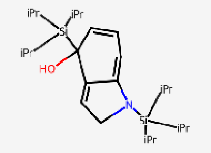 CC(C)[Si](C(C)C)(C(C)C)N1CC=C2C1=CC=CC2(O)[Si](C(C)C)(C(C)C)C(C)C